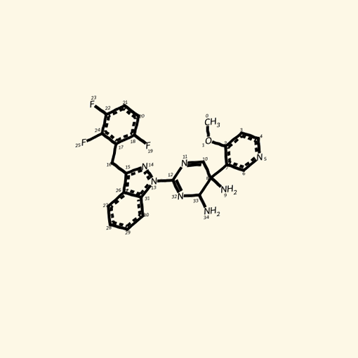 COc1ccncc1C1(N)C=NC(n2nc(Cc3c(F)ccc(F)c3F)c3ccccc32)=NC1N